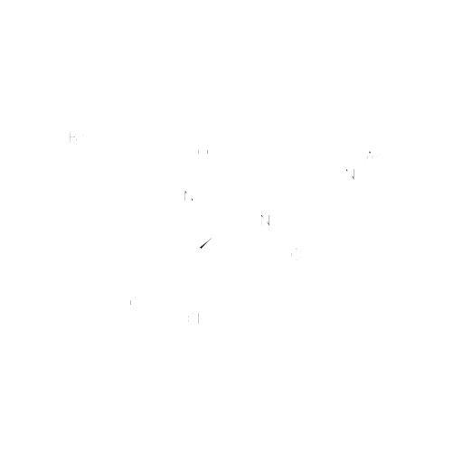 CC(=O)N1CCC(C(=O)N2CC[C@@H](N(C)C(=O)c3ccc(Br)cc3)[C@H](c3ccc(Cl)c(Cl)c3)C2)CC1